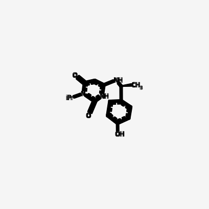 CC(C)n1c(=O)cc(N[C@@H](C)c2ccc(O)cc2)[nH]c1=O